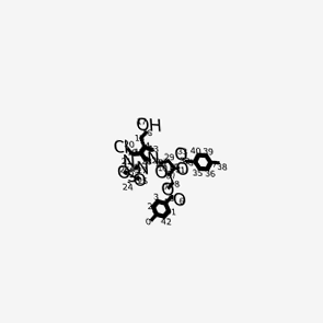 Cc1ccc(C(=O)OC[C@H]2O[C@@H](n3cc(CCO)c4c(Cl)nc(S(C)(=O)=O)nc43)C[C@@H]2OC(=O)c2ccc(C)cc2)cc1